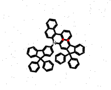 c1ccc(-c2c(N(c3ccc4c(c3)-c3ccccc3C4(c3ccccc3)c3ccccc3)c3ccc4c(c3)C(c3ccccc3)(c3ccccc3)c3ccccc3-4)ccc3ccccc23)cc1